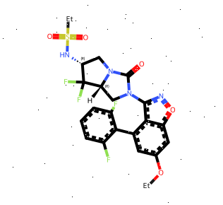 CCOc1cc(-c2c(F)cccc2F)c2c(N3C[C@H]4N(C[C@@H](NS(=O)(=O)CC)C4(F)F)C3=O)noc2c1